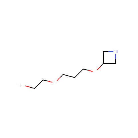 OCCOCCCOC1CNC1